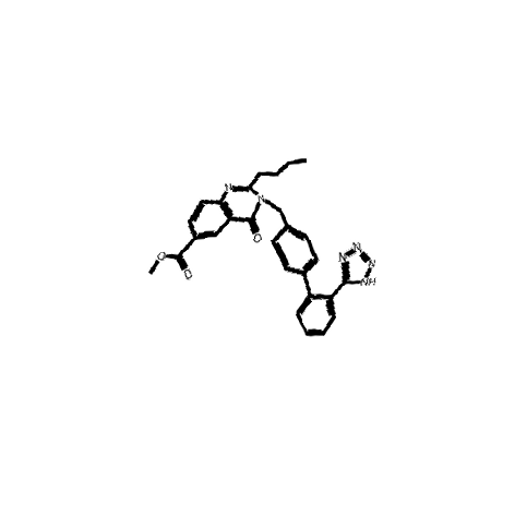 CCCCc1nc2ccc(C(=O)OC)cc2c(=O)n1Cc1ccc(-c2ccccc2-c2nnn[nH]2)cc1